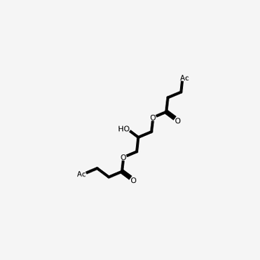 CC(=O)CCC(=O)OCC(O)COC(=O)CCC(C)=O